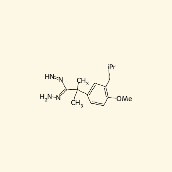 COc1ccc(C(C)(C)/C(N=N)=N/N)cc1CC(C)C